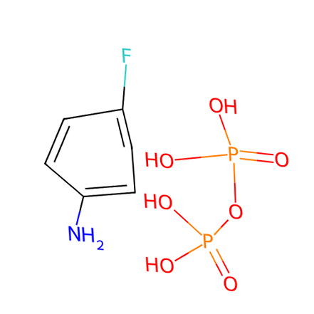 Nc1ccc(F)cc1.O=P(O)(O)OP(=O)(O)O